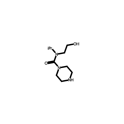 CC(C)N(CCO)C(=O)N1CCNCC1